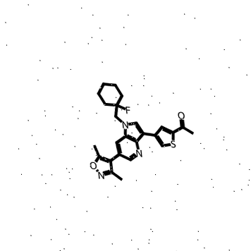 CC(=O)c1cc(-c2cn(CC3(F)CCCCC3)c3cc(-c4c(C)noc4C)cnc23)cs1